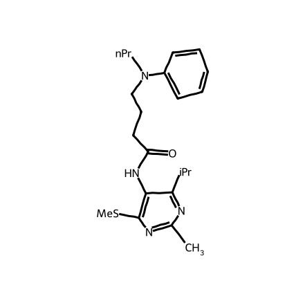 CCCN(CCCC(=O)Nc1c(SC)nc(C)nc1C(C)C)c1ccccc1